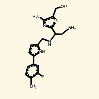 Cc1ccc(-c2ccc(CNC(CN)c3nc(C)c(CO)s3)[nH]2)cc1F